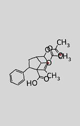 CC(=O)OC1C=C(C)C2(C(=O)O)C(c3ccccc3)CC1C2OC(C)=O